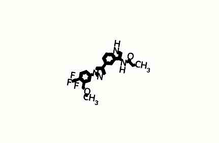 CCC(=O)Nc1c[nH]c2ccc(-c3cnn(-c4ccc(C(F)(F)F)c(COC)c4)c3)cc12